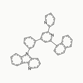 c1ccc(-c2cc(-c3cccc(-n4c5ccccc5c5ncccc54)c3)cc(-c3cccc4ccccc34)n2)nc1